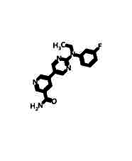 CCN(c1cccc(F)c1)c1ncc(-c2cncc(C(N)=O)c2)cn1